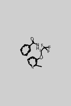 Cc1ncccc1OCC(F)(F)F.NC(=O)c1ccccc1